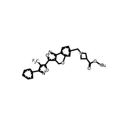 CC(C)(C)OC(=O)C1CN(Cc2ccc3c(c2)OCc2c-3noc2-c2onc(-c3ccccc3)c2C(F)(F)F)C1